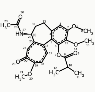 COc1cc2c(c(OC(=O)C(C)C)c1OC)-c1ccc(OC)c(=O)cc1[C@@H](NC(C)=O)CC2